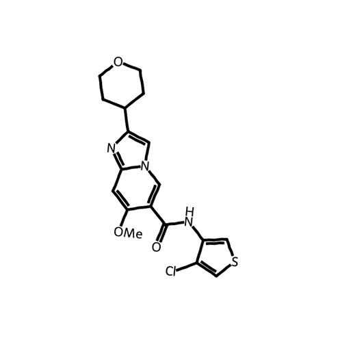 COc1cc2nc(C3CCOCC3)cn2cc1C(=O)Nc1cscc1Cl